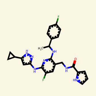 CC(Nc1nc(Nc2cc(C3CC3)[nH]n2)c(F)cc1CNC(=O)c1ccc[nH]1)c1ccc(F)cc1